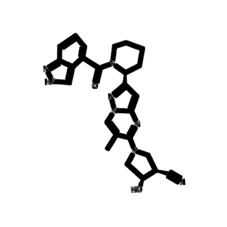 Cc1cn2nc([C@@H]3CCCCN3C(=O)c3cccc4n[nH]cc34)cc2nc1N1C[C@@H](C#N)[C@@H](O)C1